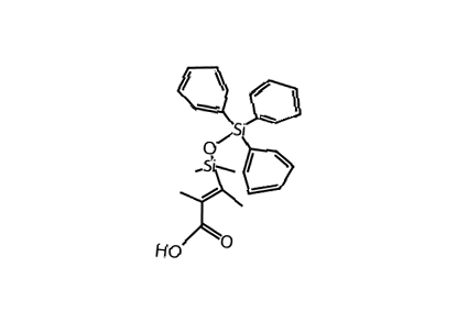 C/C(C(=O)O)=C(/C)[Si](C)(C)O[Si](c1ccccc1)(c1ccccc1)c1ccccc1